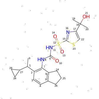 CC(c1ccc2c(c1NC(=O)NS(=O)(=O)c1nc(C(C)(C)O)cs1)CCC2)C1CC1